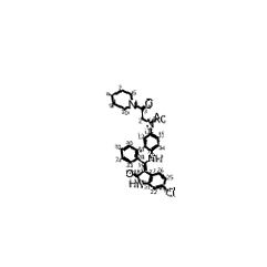 CC(=O)N(CC(=O)N1CCCCC1)c1ccc(NC(=C2C(=O)Nc3cc(Cl)ccc32)c2ccccc2)cc1